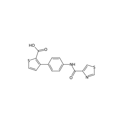 O=C(Nc1ccc(-c2ccsc2C(=O)O)cc1)c1cscn1